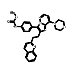 CC(C)(C)OC(=O)Nc1ccc(-c2c(CCc3ccc4ccccc4n3)nc3c(N4CCOCC4)ccnn23)cc1